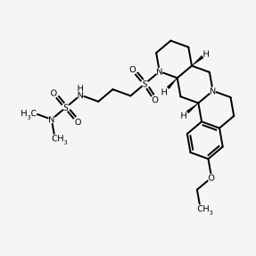 CCOc1ccc2c(c1)CCN1C[C@H]3CCCN(S(=O)(=O)CCCNS(=O)(=O)N(C)C)[C@H]3C[C@@H]21